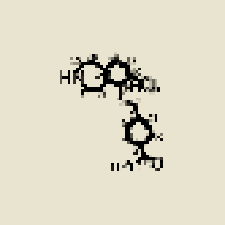 CCCC(=O)c1ccc(CSc2c(Cl)ccc3c2CCNCC3)cc1.Cl